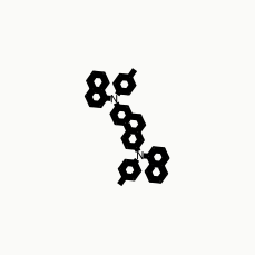 Cc1ccc(N(c2ccc3c(ccc4cc(N(c5ccc(C)cc5)c5cccc6ccccc56)ccc43)c2)c2cccc3ccccc23)cc1